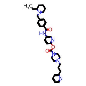 CCC1CCCCN1Cc1ccc(C(=O)Nc2ccc(OC(=O)N3CCN(CCCc4ccccn4)CC3)nc2)cc1